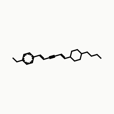 CCCCC1CCC(C=CC#CC=Cc2ccc(CC)cc2)CC1